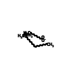 CCCCCCCC/C=C\CCCCCCCC[N+](C)(C)C.CCCCCCCCCC(=O)[O-]